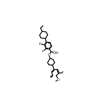 C=C/C=C(\C=C(\F)COC)C1CCC(OC(O)c2ccc(C3CCC(CC)CC3)c(F)c2F)CC1